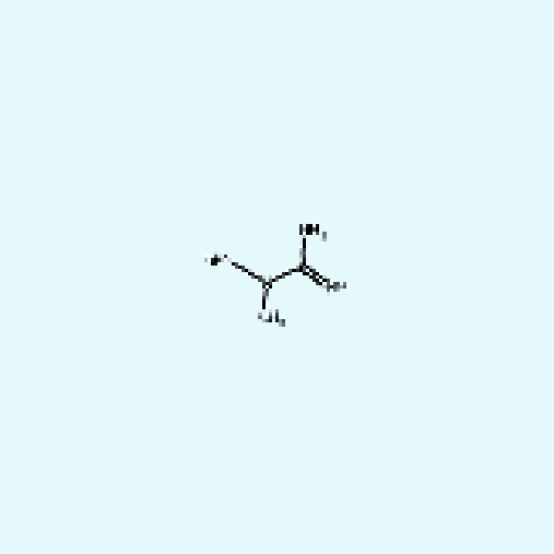 C[CH]CN(C)C(=N)N